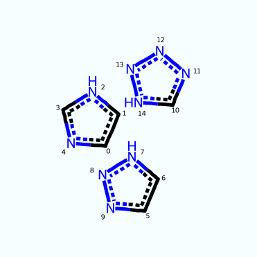 c1c[nH]cn1.c1c[nH]nn1.c1nnn[nH]1